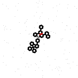 c1ccc(-c2cccc(-c3ccccc3N(c3ccc(-c4cccc5c4-c4ccccc4C5(c4ccccc4)c4ccccc4)cc3)c3ccc(-c4cccc5ccccc45)cc3)c2)cc1